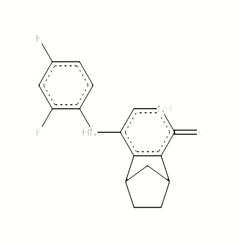 O=c1[nH]cc(Nc2ccc(F)cc2F)c2c1C1CCC2C1